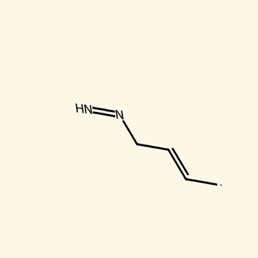 [CH2]C=CCN=N